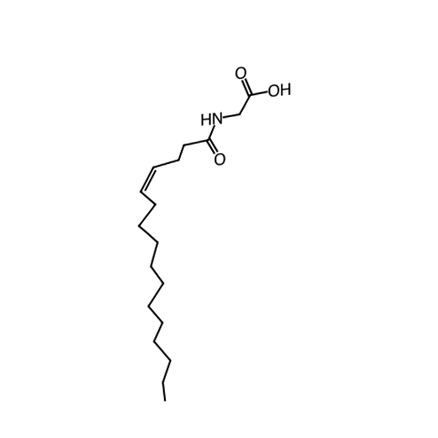 CCCCCCCCCCC/C=C\CCC(=O)NCC(=O)O